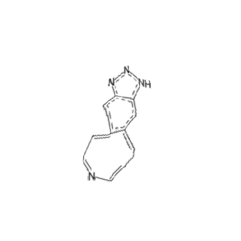 C1=CN=CC=c2cc3nn[nH]c3cc2=C1